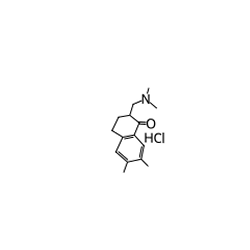 Cc1cc2c(cc1C)C(=O)C(CN(C)C)CC2.Cl